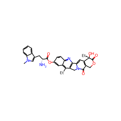 CCc1c2c(nc3ccc(OC(=O)[C@H](N)Cc4cn(C)c5ccccc45)cc13)-c1cc3c(c(=O)n1C2)COC(=O)[C@]3(O)CC